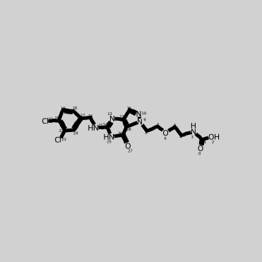 O=C(O)NCCOCCn1ncc2nc(NCc3ccc(Cl)c(Cl)c3)[nH]c(=O)c21